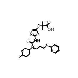 CC1CCC(N(CCCSc2ccccc2)C(=O)Nc2ncc(SC(C)(C)C(=O)O)s2)CC1